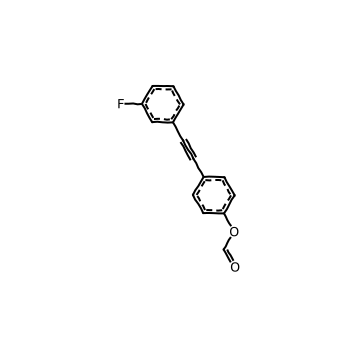 O=COc1ccc(C#Cc2cccc(F)c2)cc1